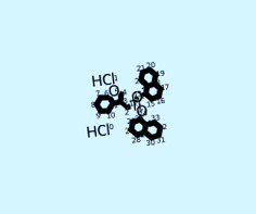 Cl.Cl.[CH](c1coc2ccccc12)=[Ti]([O]c1cccc2ccccc12)[O]c1cccc2ccccc12